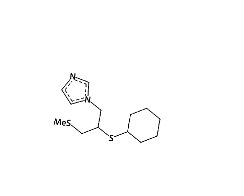 CSCC(Cn1ccnc1)SC1CCCCC1